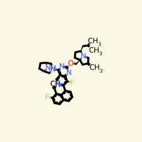 C#Cc1c(F)ccc2cccc(-c3ncc4c(N5CC6CCC(C5)N6)nc(OC[C@@]56CC[C@@H](CC(C)C)N5CC(=C)C6)nc4c3F)c12